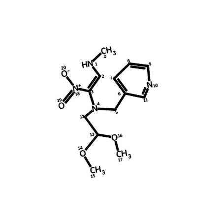 CNC=C(N(Cc1cccnc1)CC(OC)OC)[N+](=O)[O-]